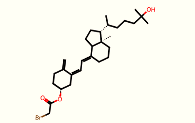 C=C1CC[C@H](OC(=O)CBr)C/C1=C/C=C1\CCC[C@@]2(C)C1CC[C@@H]2C(C)CCCC(C)(C)O